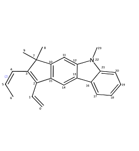 C=CC1=C(/C=C\C)C(C)(C)c2cc3c(cc21)c1ccccc1n3C